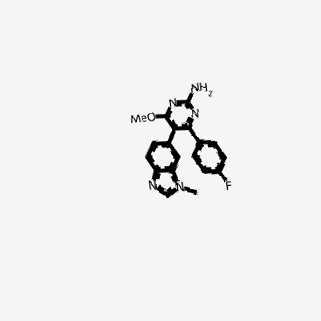 COc1nc(N)nc(-c2ccc(F)cc2)c1-c1ccc2ncn(C)c2c1